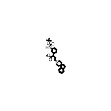 COC(=O)C(CCN1CCC2(C=Cc3ccccc32)CC1)c1cccc(NC(=O)OC(C)(C)C)c1